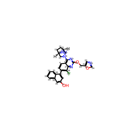 Oc1cc(-c2ccc3c(N4C[C@H]5CC[C@@H](C4)N5)nc(OCc4cnco4)nc3c2F)c2ccccc2c1